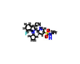 CC(C)NS(=O)(=O)c1ccc(-c2c(C#N)c3cccc(F)c3n2C2CCCC2)nc1